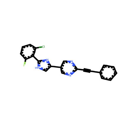 Fc1cccc(Cl)c1-c1nc(-c2cnc(C#Cc3ccccc3)nc2)c[nH]1